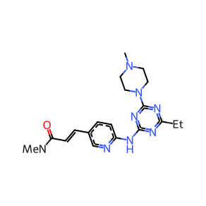 CCc1nc(Nc2ccc(/C=C/C(=O)NC)cn2)nc(N2CCN(C)CC2)n1